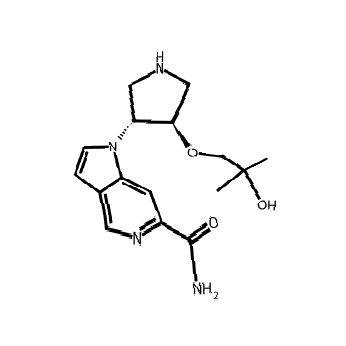 CC(C)(O)CO[C@@H]1CNC[C@H]1n1ccc2cnc(C(N)=O)cc21